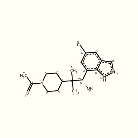 CC(=O)N1CCC(C(C)(C)[C@@H](O)c2cc(Cl)cc3cn[nH]c23)CC1